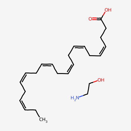 CC/C=C\C/C=C\C/C=C\C/C=C\C/C=C\C/C=C\CCC(=O)O.NCCO